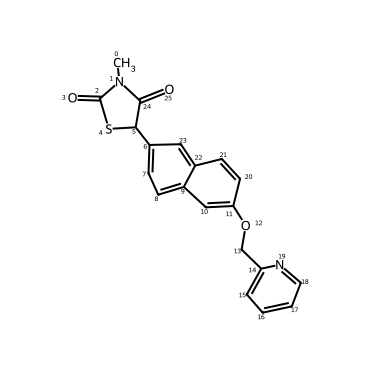 CN1C(=O)SC(c2ccc3cc(OCc4ccccn4)ccc3c2)C1=O